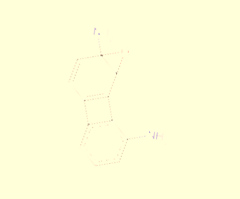 Nc1cccc2c1C1=C2C=CC2(N)OC12